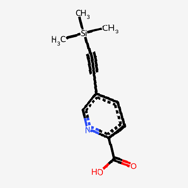 C[Si](C)(C)C#Cc1ccc(C(=O)O)nc1